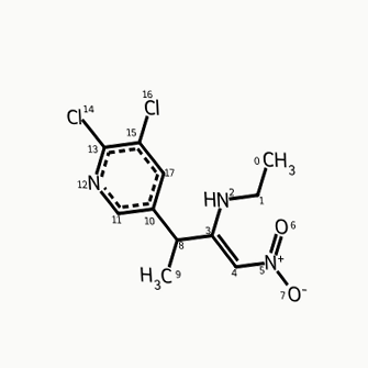 CCN/C(=C\[N+](=O)[O-])C(C)c1cnc(Cl)c(Cl)c1